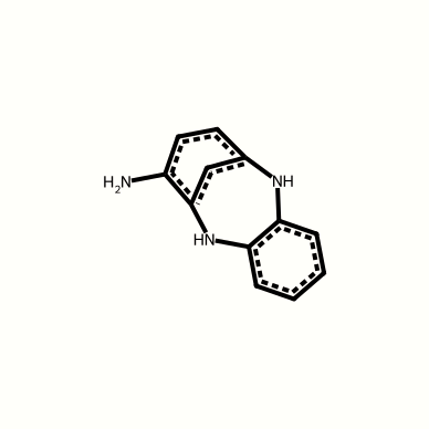 Nc1ccc2cc1Nc1ccccc1N2